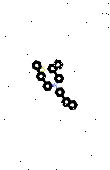 c1cc(-c2ccc3c(c2)sc2ccccc23)cc(N(c2ccc(-c3ccc4ccccc4c3)cc2)c2cccc(-c3cccc4ccccc34)c2)c1